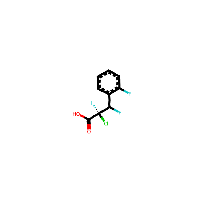 O=C(O)[C@](F)(Cl)C(F)c1ccccc1F